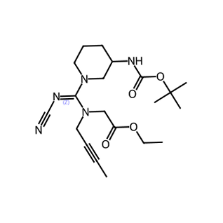 CC#CCN(CC(=O)OCC)/C(=N\C#N)N1CCCC(NC(=O)OC(C)(C)C)C1